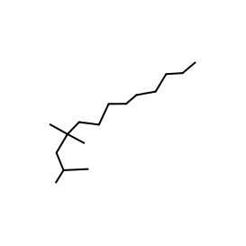 CCCCCCCCCC(C)(C)CC(C)C